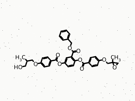 CC(CO)COc1ccc(C(=O)Oc2ccc(OC(=O)c3ccc(OCC4(C)CO4)cc3)c(C(=O)OCc3ccccc3)c2)cc1